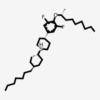 CCCCCCC[C@@H](C)Oc1c(F)cc([C@H]2CC[Si@H]([C@H]3CC[C@H](CCCCCCC)CC3)CC2)cc1F